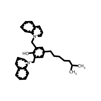 CC(C)CCCCCc1cc(C[n+]2cccc3ccccc32)c(O)c(C[n+]2cccc3ccccc32)c1